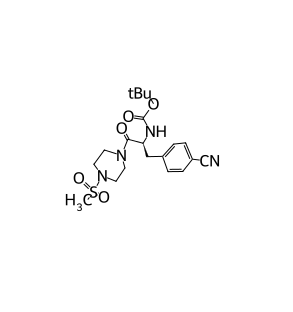 CC(C)(C)OC(=O)N[C@@H](Cc1ccc(C#N)cc1)C(=O)N1CCN(S(C)(=O)=O)CC1